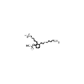 CCCCCCCCc1cccc(OC(=O)O)c1CCCCCC